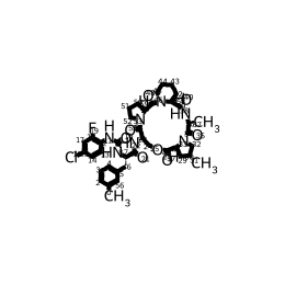 Cc1cccc(C[C@H](NC(=O)Nc2ccc(Cl)cc2F)C(=O)N[C@H]2COC(=O)[C@@H]3C[C@H](C)CN3C(=O)[C@H](C)NC(=O)[C@@H]3CCCCN3C(=O)[C@@H]3CCCN3C2=O)c1